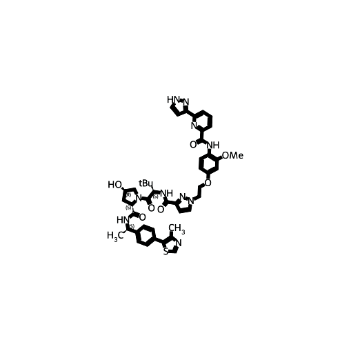 COc1cc(OCCn2ccc(C(=O)N[C@H](C(=O)N3C[C@H](O)C[C@H]3C(=O)N[C@@H](C)c3ccc(-c4scnc4C)cc3)C(C)(C)C)n2)ccc1NC(=O)c1cccc(-c2cc[nH]n2)n1